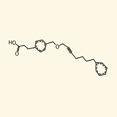 O=C(O)CCc1ccc(COCC#CCCCCc2ccccc2)cc1